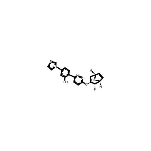 Oc1cc(-n2ccnc2)ccc1-c1ccc(O[C@H]2C[C@@H]3C=C[C@@H](N3)[C@@H]2F)nn1